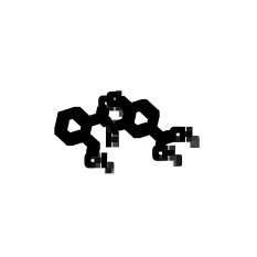 C=Cc1ccccc1C(=C)Nc1cc(C(=C)C)ccc1Cl